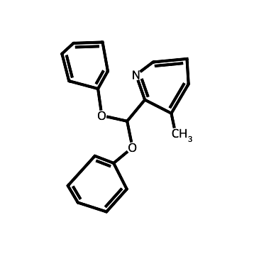 Cc1cccnc1C(Oc1ccccc1)Oc1ccccc1